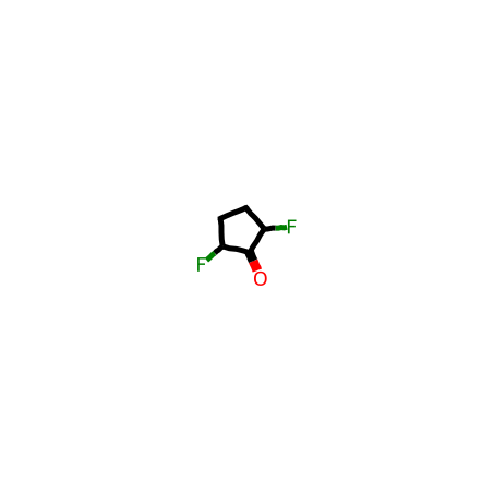 O=C1C(F)CCC1F